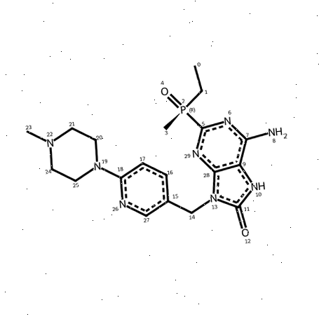 CC[P@@](C)(=O)c1nc(N)c2[nH]c(=O)n(Cc3ccc(N4CCN(C)CC4)nc3)c2n1